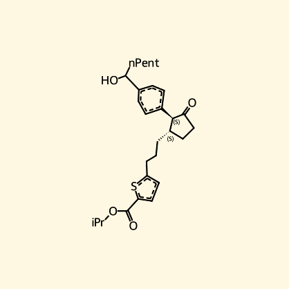 CCCCCC(O)c1ccc([C@H]2C(=O)CC[C@@H]2CCCc2ccc(C(=O)OC(C)C)s2)cc1